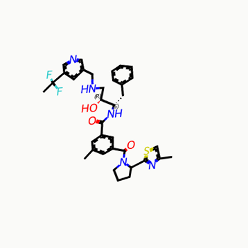 Cc1cc(C(=O)N[C@@H](Cc2ccccc2)[C@H](O)CNCc2cncc(C(C)(F)F)c2)cc(C(=O)N2CCCC2c2nc(C)cs2)c1